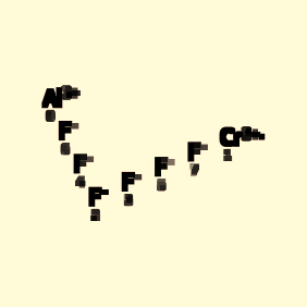 [Al+3].[Cr+3].[F-].[F-].[F-].[F-].[F-].[F-]